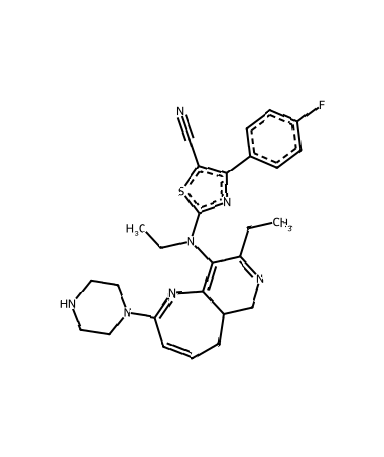 CCC1=NCC2CC=CC(N3CCNCC3)=NC2=C1N(CC)c1nc(-c2ccc(F)cc2)c(C#N)s1